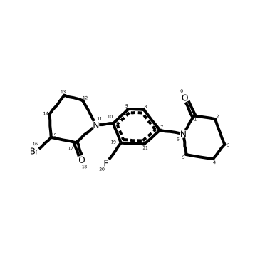 O=C1CCCCN1c1ccc(N2CCCC(Br)C2=O)c(F)c1